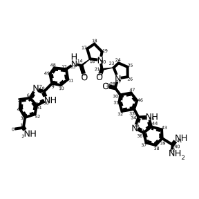 CC(=N)c1ccc2nc(-c3ccc(NC(=O)[C@H]4CCCN4C(=O)[C@H]4CCCN4C(=O)c4ccc(-c5nc6ccc(C(=N)N)cc6[nH]5)cc4)cc3)[nH]c2c1